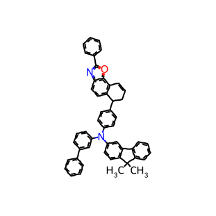 CC1(C)c2ccccc2-c2cc(N(c3ccc(C4CC=Cc5c4ccc4nc(-c6ccccc6)oc54)cc3)c3cccc(-c4ccccc4)c3)ccc21